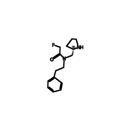 O=C(CF)N(CCc1ccccc1)C[C@@H]1CCCN1